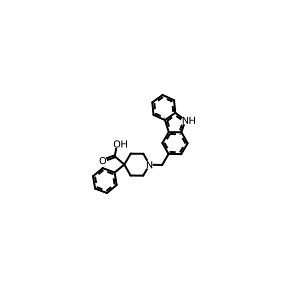 O=C(O)C1(c2ccccc2)CCN(Cc2ccc3[nH]c4ccccc4c3c2)CC1